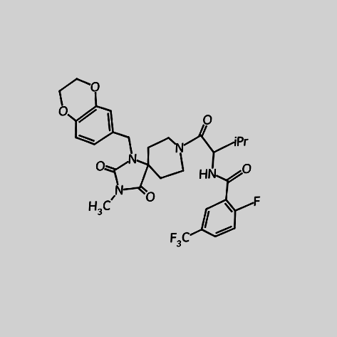 CC(C)C(NC(=O)c1cc(C(F)(F)F)ccc1F)C(=O)N1CCC2(CC1)C(=O)N(C)C(=O)N2Cc1ccc2c(c1)OCCO2